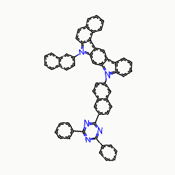 c1ccc(-c2nc(-c3ccccc3)nc(-c3ccc4cc(-n5c6ccccc6c6cc7c8c9ccccc9ccc8n(-c8ccc9ccccc9c8)c7cc65)ccc4c3)n2)cc1